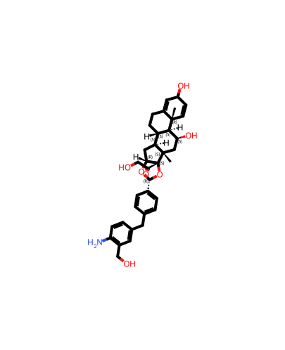 C[C@]12C=CC(O)C=C1CC[C@@H]1[C@@H]2[C@@H](O)C[C@@]2(C)[C@H]1C[C@H]1O[C@@H](c3ccc(Cc4ccc(N)c(CO)c4)cc3)O[C@]12C(=O)CO